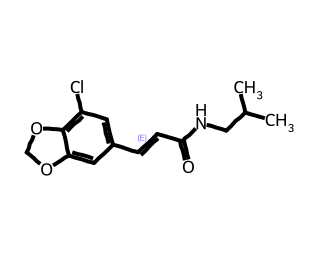 CC(C)CNC(=O)/C=C/c1cc(Cl)c2c(c1)OCO2